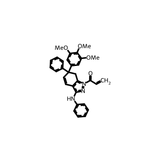 C=CC(=O)n1nc(Nc2ccccc2)c2c1CC(c1ccccc1)(c1cc(OC)c(OC)c(OC)c1)C=C2